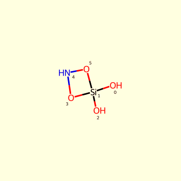 O[Si]1(O)ONO1